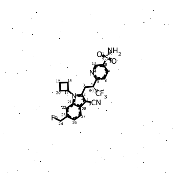 N#Cc1c(C[C@H](c2ccc(S(N)(=O)=O)cn2)C(F)(F)F)n(C2CCC2)c2cc(CF)ccc12